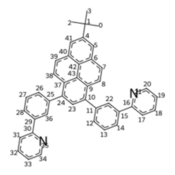 CC(C)(C)c1cc2ccc3c(-c4cccc(-c5ccccn5)c4)cc(-c4cccc(-c5ccccn5)c4)c4ccc(c1)c2c34